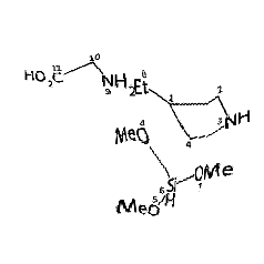 CCC1CNC1.CO[SiH](OC)OC.NCC(=O)O